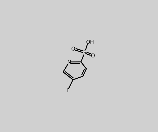 O=S(=O)(O)c1ccc(I)cn1